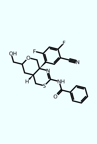 N#Cc1cc([C@]23COC(CO)C[C@H]2CSC(NC(=O)c2ccccc2)=N3)c(F)cc1F